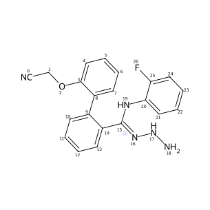 N#CCOc1ccccc1-c1ccccc1/C(=N/NN)Nc1ccccc1F